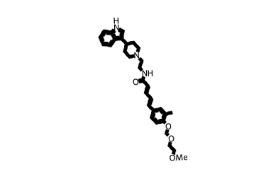 COCCOCOc1ccc(/C=C/C=C/C(=O)NCCN2CCC(c3c[nH]c4ccccc34)CC2)cc1C